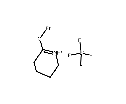 CCOC1=[NH+]CCCC1.F[B-](F)(F)F